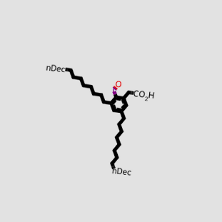 CCCCCCCCCCCCCCCCCCc1cc(CCCCCCCCCCCCCCCCCC)c(I=O)c(CC(=O)O)c1